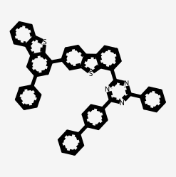 c1ccc(-c2ccc(-c3nc(-c4ccccc4)nc(-c4cccc5c4sc4cc(-c6cc(-c7ccccc7)cc7c6sc6ccccc67)ccc45)n3)cc2)cc1